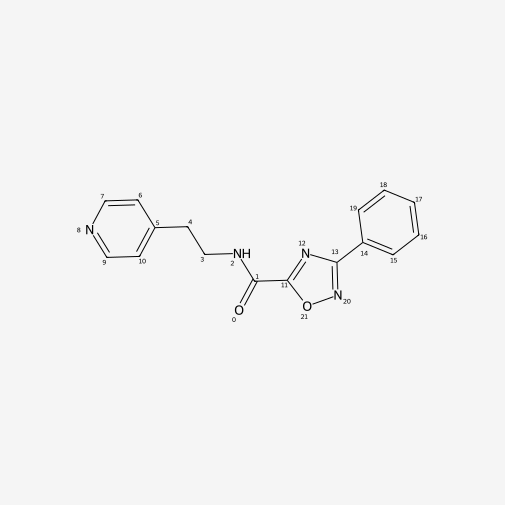 O=C(NCCc1ccncc1)c1nc(-c2ccccc2)no1